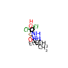 C=C(C)CC(CC)(CC)C(=O)NC(=S)Nc1cc(Cl)c(O)c(Cl)c1